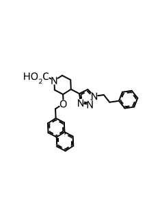 O=C(O)N1CCC(c2cn(CCc3ccccc3)nn2)C(OCc2ccc3ccccc3c2)C1